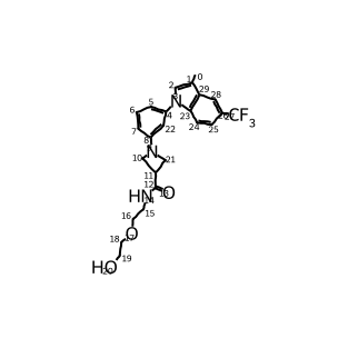 Cc1cn(-c2cccc(N3CC(C(=O)NCCOCCO)C3)c2)c2ccc(C(F)(F)F)cc12